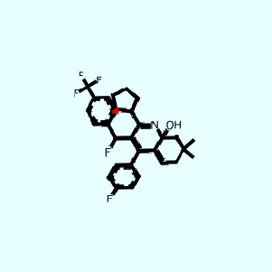 CC1(C)CC=C2C(c3ccc(F)cc3)=C(C(F)c3ccc(C(F)(F)F)cc3)C(C3CCCC3)=NC2(O)C1